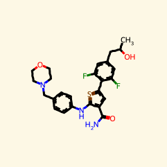 CC(O)Cc1cc(F)c(-c2cc(C(N)=O)c(Nc3ccc(CN4CCOCC4)cc3)s2)c(F)c1